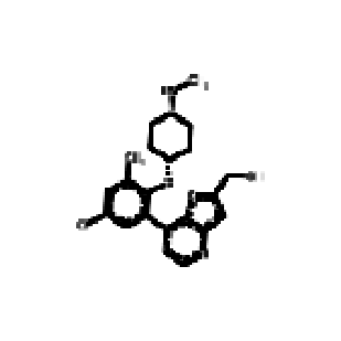 CN[C@H]1CC[C@H](Oc2c(C)cc(Cl)cc2-c2ccnc3cc(CO)sc23)CC1